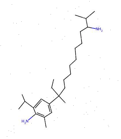 CCC(C)(CCCCCCCCC(N)C(C)C)c1cc(C)c(N)c(C(C)C)c1